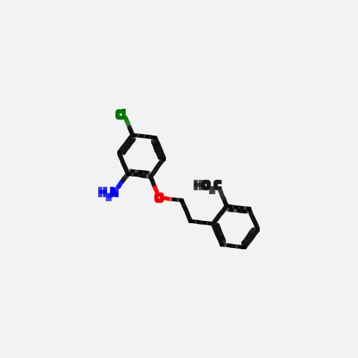 Nc1cc(Cl)ccc1OCCc1ccccc1C(=O)O